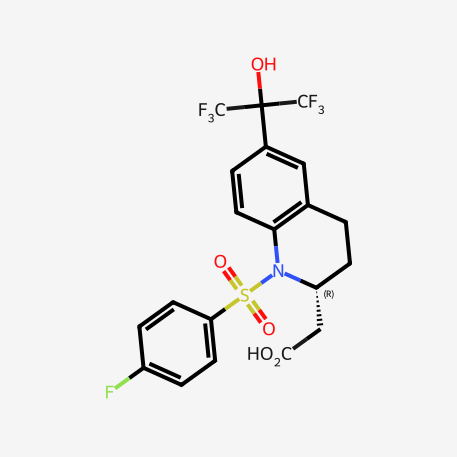 O=C(O)C[C@H]1CCc2cc(C(O)(C(F)(F)F)C(F)(F)F)ccc2N1S(=O)(=O)c1ccc(F)cc1